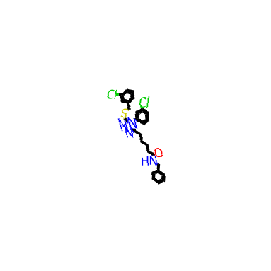 O=C(CCCCc1nnc(SCc2cccc(Cl)c2)n1-c1cccc(Cl)c1)NCc1ccccc1